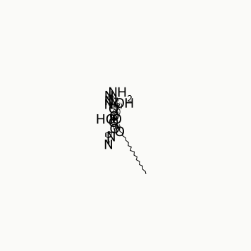 CCCCCCCCCCCCCCCCCCOC[C@H](COP(=O)(O)OC[C@@H]1C[C@@H](O)[C@](C#N)(c2ccc3c(N)ncnn23)O1)OCc1cccc(C#N)n1